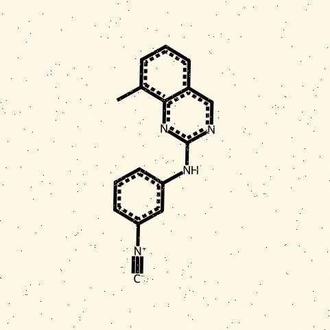 [C-]#[N+]c1cccc(Nc2ncc3cccc(C)c3n2)c1